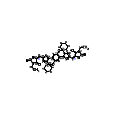 CCN1C(=O)/C(=C\c2nc3c(s2)-c2cc4c(cc2OC32CCCCC2)-c2sc(/C=C3/SC(=S)N(CC)C3=O)nc2C2(CCCCC2)O4)SC1=S